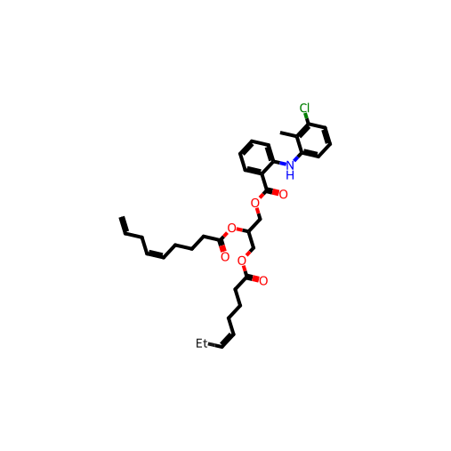 C=CC/C=C\CCCC(=O)OC(COC(=O)CCC/C=C\CC)COC(=O)c1ccccc1Nc1cccc(Cl)c1C